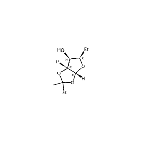 CC[C@H]1O[C@@H]2OC(C)(CC)O[C@@H]2[C@H]1O